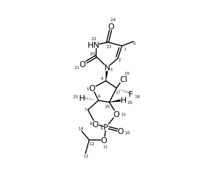 Cc1cn([C@@H]2O[C@@H]3COP(=O)(OC(C)C)O[C@H]3[C@]2(F)Cl)c(=O)[nH]c1=O